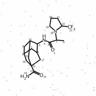 CC(C(=O)NC1C2CC3CC1CC(C(N)=O)(C3)C2)N1CCCC1C(F)(F)F